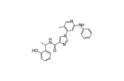 Cc1cnc(Nc2ccccc2)cc1-n1cnc(C(=O)NC(C)c2ccccc2O)c1